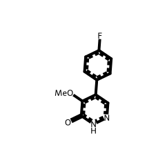 COc1c(-c2ccc(F)cc2)cn[nH]c1=O